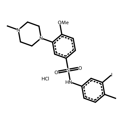 COc1ccc(S(=O)(=O)Nc2ccc(C)c(I)c2)cc1N1CCN(C)CC1.Cl